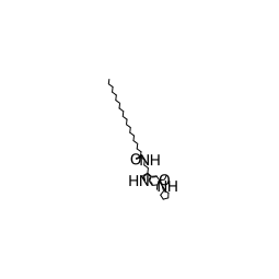 CCCCCCCCCCCCCCCCCCCC(=O)NCCc1c[nH]c2c1=CC(OC)C(C)(NC1CCCC1)C=2